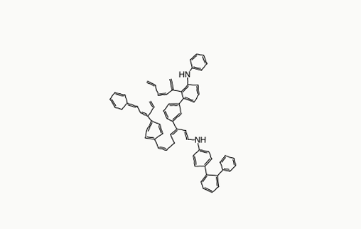 C=C/C=C\C(=C)c1c(Nc2ccccc2)cccc1-c1cccc(C(/C=C/Nc2ccc(-c3ccccc3-c3ccccc3)cc2)=C/C/C=C\c2ccc(/C(C=C)=C/C=C3/C=CC=CC3)cc2)c1